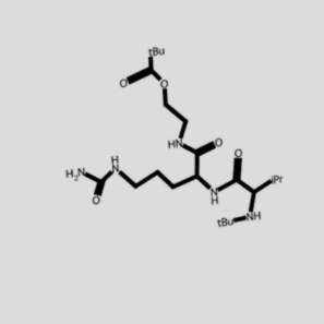 CC(C)C(NC(C)(C)C)C(=O)NC(CCCNC(N)=O)C(=O)NCCOC(=O)C(C)(C)C